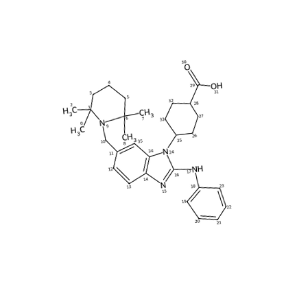 CC1(C)CCCC(C)(C)N1Cc1ccc2nc(Nc3ccccc3)n(C3CCC(C(=O)O)CC3)c2c1